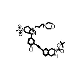 CC(C)(C)OC(=O)N1Cc2cc(C#Cc3cc(-c4nn(CCCN5CCOCC5)c5c4CN(S(C)(=O)=O)CC5)ccc3Cl)ccc2C[C@H]1I